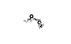 COC(=O)c1ccccc1SCCNC1CCN(C(=O)C(F)(F)F)CC1